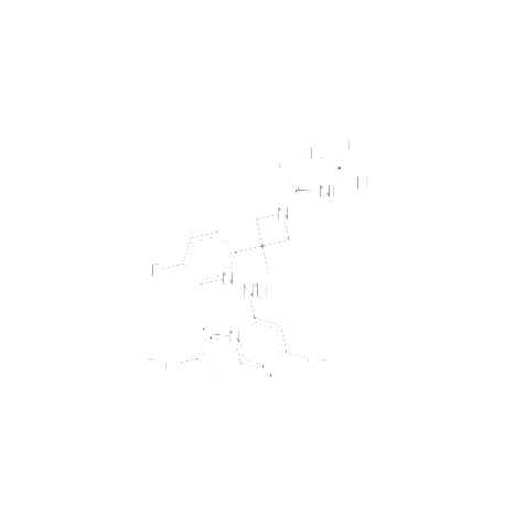 [2H]C([2H])([2H])NC(=O)N1CC(CNc2cc(C(F)(F)F)nc3cc(C(F)(F)F)nn23)(c2ccc(F)cn2)C1